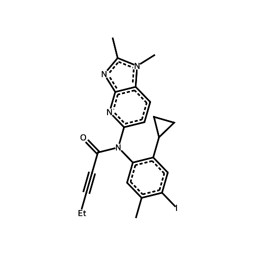 CCC#CC(=O)N(c1ccc2c(n1)nc(C)n2C)c1cc(C)c(I)cc1C1CC1